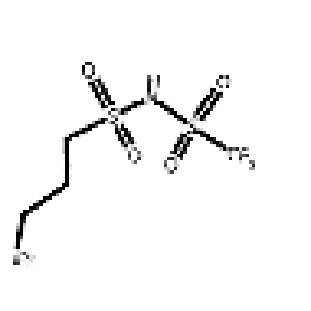 CC(C)CCCS(=O)(=O)NS(=O)(=O)C(F)(F)F